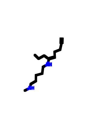 C#CCC/C=C(\CCC)NCCCCCNC